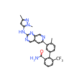 Cc1cc(Nc2ncc3cc(-c4cc(-c5c(C(N)=O)cccc5C(F)(F)F)ccc4C)ncc3n2)n(C)n1